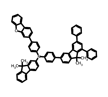 CC1(C)c2ccccc2-c2ccc(N(c3ccc(-c4ccc5c(c4)-c4cc(-c6ccccc6)cc(-c6ccccc6)c4C5(C)C)cc3)c3ccc(-c4ccc5c(c4)oc4ccccc45)cc3)cc21